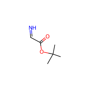 CC(C)(C)OC(=O)C=N